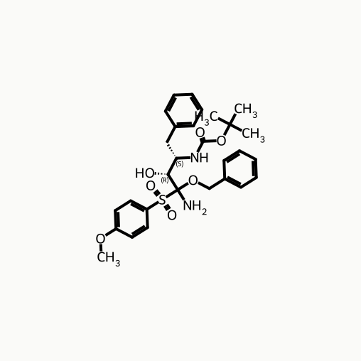 COc1ccc(S(=O)(=O)C(N)(OCc2ccccc2)[C@H](O)[C@H](Cc2ccccc2)NC(=O)OC(C)(C)C)cc1